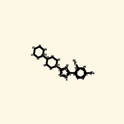 Fc1ccc(-c2nsc(N3CCC(N4CCCCC4)CC3)n2)c(F)c1